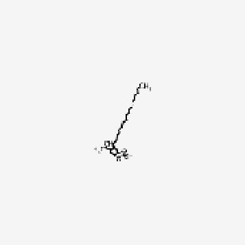 CCCCCCCCCCCCCCCCCCc1cc(S(=O)(=O)O)ccc1C(C)C